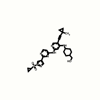 CC1(C#Cc2cnc(Nc3ccnc(-c4cnn(S(=O)(=O)C5CC5)c4)n3)cc2NC2CCC(CO)CC2)CC1